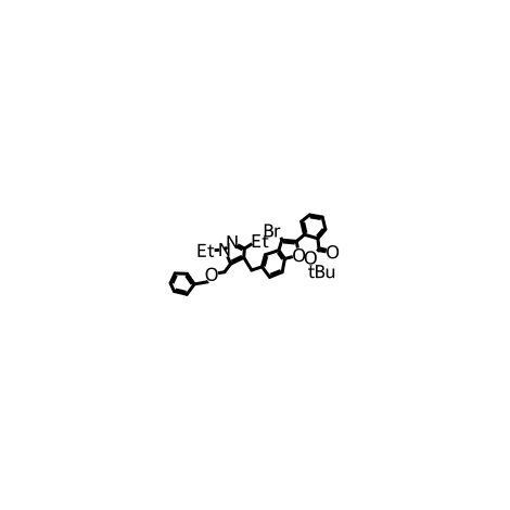 CCc1nn(CC)c(COCc2ccccc2)c1Cc1ccc2oc(-c3ccccc3C(=O)OC(C)(C)C)c(Br)c2c1